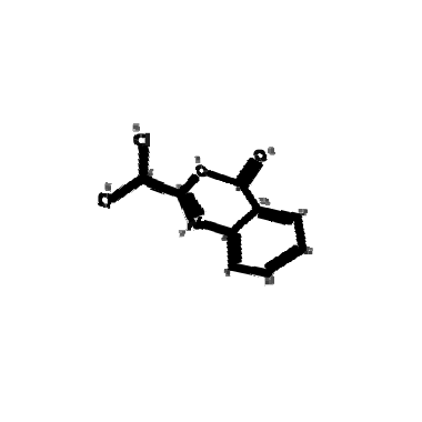 O=c1oc(C(Cl)Cl)nc2ccccc12